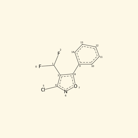 FC(F)c1c(Cl)noc1-c1ccccc1